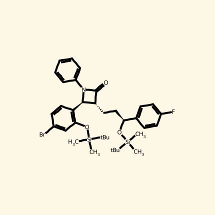 CC(C)(C)[Si](C)(C)Oc1cc(Br)ccc1[C@@H]1[C@@H](CC[C@H](O[Si](C)(C)C(C)(C)C)c2ccc(F)cc2)C(=O)N1c1ccccc1